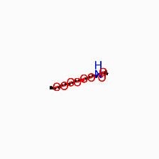 C#CCOCCOCCOCCOCCOCCOCCNC(=O)OC(C)(C)C